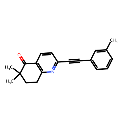 Cc1cccc(C#Cc2ccc3c(n2)CCC(C)(C)C3=O)c1